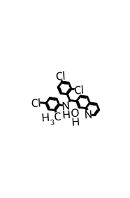 Cc1cc(Cl)ccc1NC(c1ccc(Cl)cc1Cl)c1ccc2cccnc2c1O